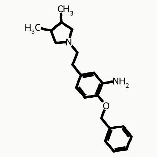 CC1CN(CCc2ccc(OCc3ccccc3)c(N)c2)CC1C